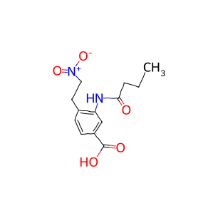 CCCC(=O)Nc1cc(C(=O)O)ccc1CC[N+](=O)[O-]